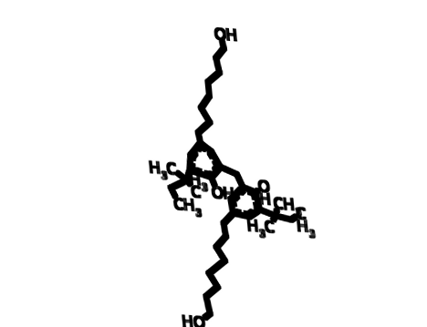 CCC(C)(C)c1cc(CCCCCCCCO)cc(Cc2cc(CCCCCCCCO)cc(C(C)(C)CC)c2O)c1O